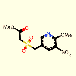 COC(=O)CS(=O)(=O)Cc1cnc(OC)c([N+](=O)[O-])c1